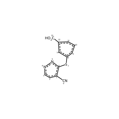 N#Cc1ccnnc1Sc1cccc(C(=O)O)c1